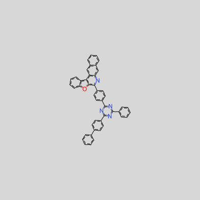 c1ccc(-c2ccc(-c3nc(-c4ccccc4)nc(-c4ccc(-c5nc6cc7ccccc7cc6c6c5oc5ccccc56)cc4)n3)cc2)cc1